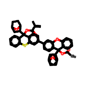 C=C(C)C(=O)OC1(C2CC3CCC2O3)c2ccccc2Sc2cc(-c3ccc4c(c3)Oc3ccccc3C4(OC(=O)C(C)(C)C)c3cc4ccc3o4)ccc21